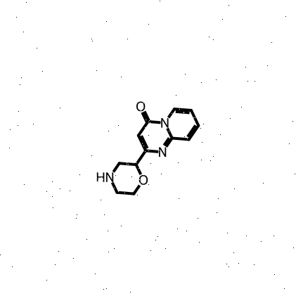 O=c1cc(C2CNCCO2)nc2ccccn12